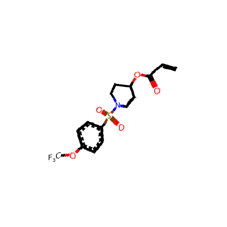 C=CC(=O)OC1CCN(S(=O)(=O)c2ccc(OC(F)(F)F)cc2)CC1